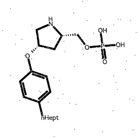 CCCCCCCc1ccc(O[C@@H]2CN[C@H](COP(=O)(O)O)C2)cc1